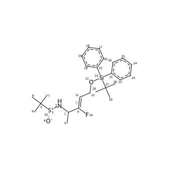 CC(N[S@+]([O-])C(C)(C)C)/C(F)=C/CO[Si](c1ccccc1)(c1ccccc1)C(C)(C)C